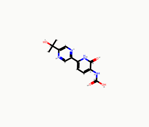 CC(C)(O)c1cnc(-c2ccc(NC(=O)O)c(=O)[nH]2)cn1